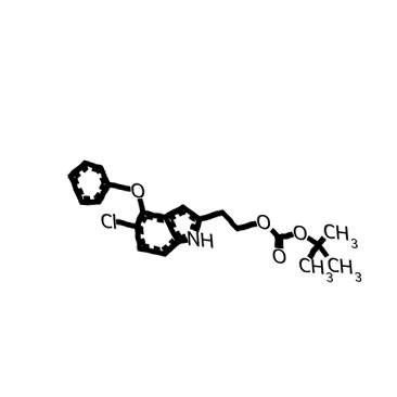 CC(C)(C)OC(=O)OCCc1cc2c(Oc3ccccc3)c(Cl)ccc2[nH]1